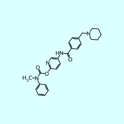 CN(C(=O)Oc1ccc(NC(=O)c2ccc(CN3CCCCC3)cc2)cn1)c1ccccc1